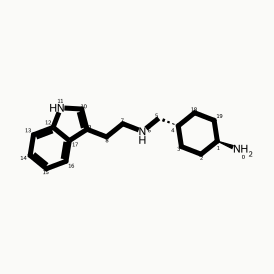 N[C@H]1CC[C@H](CNCCc2c[nH]c3ccccc23)CC1